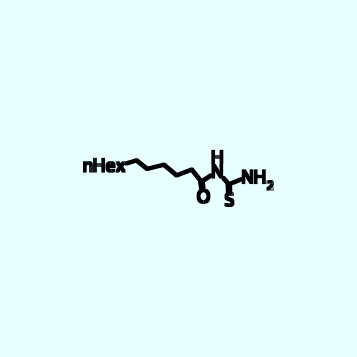 CCCCCCCCCCCC(=O)NC(N)=S